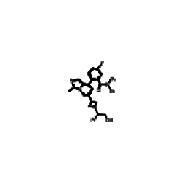 CCN(C(=O)c1cc(F)ccc1-c1cc(C2CN(C(CO)C(C)C)C2)cn2c(C)ncc12)C(C)C